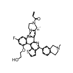 C=CC(=O)N1CCn2nc(-c3nc(-c4ccc5c(c4)CN(C)CC5)c4ccsc4c3-c3c(F)cc(F)cc3OCCO)cc2[C@H]1C